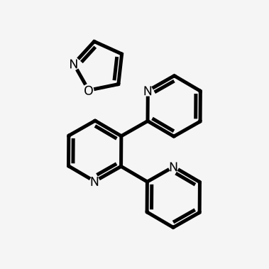 c1ccc(-c2cccnc2-c2ccccn2)nc1.c1cnoc1